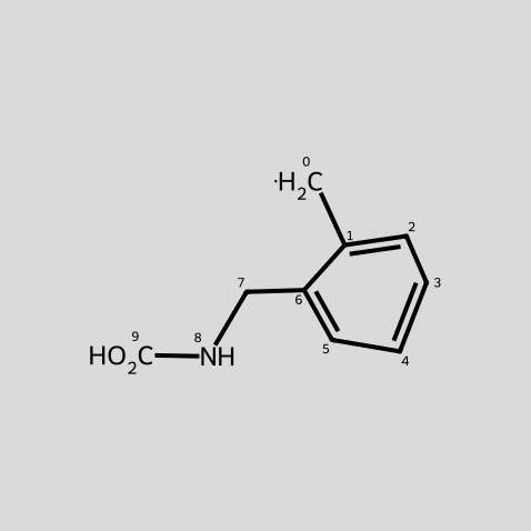 [CH2]c1ccccc1CNC(=O)O